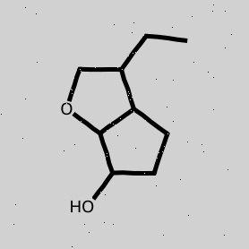 CCC1COC2C(O)CCC12